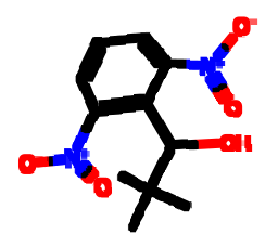 CC(C)(C)C(O)c1c([N+](=O)[O-])cccc1[N+](=O)[O-]